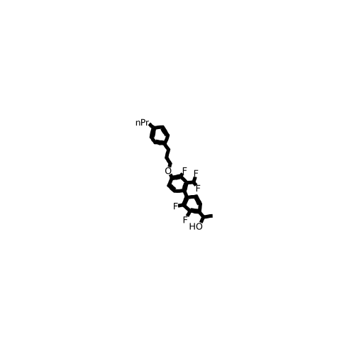 CCCc1ccc(CCCOc2ccc(-c3ccc(C(C)O)c(F)c3F)c(C(F)F)c2F)cc1